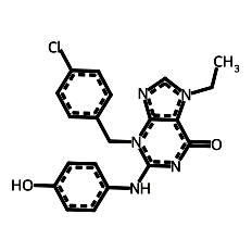 CCn1cnc2c1c(=O)nc(Nc1ccc(O)cc1)n2Cc1ccc(Cl)cc1